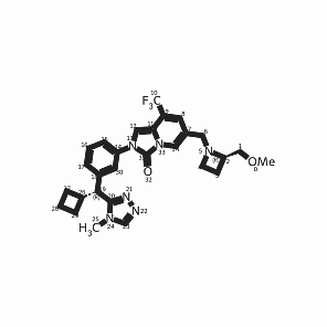 COC[C@H]1CCN1Cc1cc(C(F)(F)F)c2cn(-c3cccc([C@H](c4nncn4C)C4CCC4)c3)c(=O)n2c1